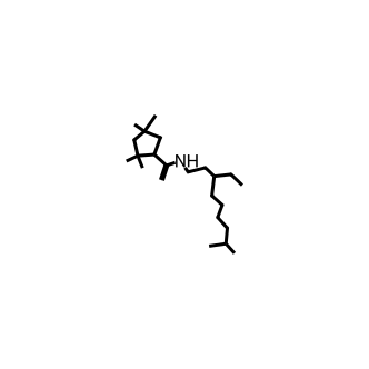 C=C(NCCC(CC)CCCCC(C)C)C1CC(C)(C)CC1(C)C